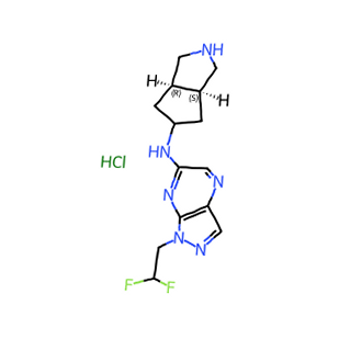 Cl.FC(F)Cn1ncc2ncc(NC3C[C@H]4CNC[C@H]4C3)nc21